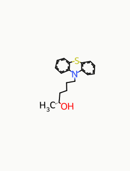 C[C@@H](O)CCCCN1c2ccccc2Sc2ccccc21